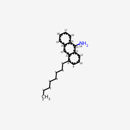 CCCCCCCCc1cccc2c(N)c3ccccc3cc12